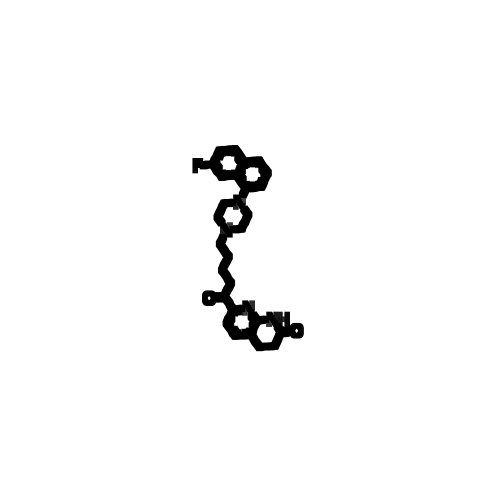 O=C1CCc2ccc(C(=O)CCCCN3CCN(c4cccc5ccc(F)cc45)CC3)nc2N1